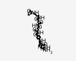 CSCC(C=O)NCCCC(C)NC(=O)CCC(C=O)NC(=O)CCC(C=O)NC(=O)c1ccc(NCc2cnc3nc(N)[nH]c(=O)c3n2)cc1